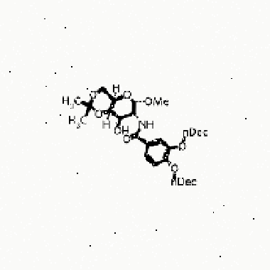 CCCCCCCCCCOc1ccc(C(=O)N[C@H]2[C@@H](OC)O[C@@H]3COC(C)(C)O[C@H]3[C@@H]2O)cc1OCCCCCCCCCC